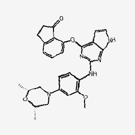 COc1cc(N2C[C@@H](C)O[C@@H](C)C2)ccc1Nc1nc(Oc2cccc3c2C(=O)CC3)c2cc[nH]c2n1